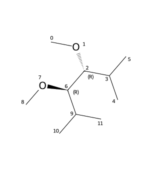 CO[C@H](C(C)C)[C@H](OC)C(C)C